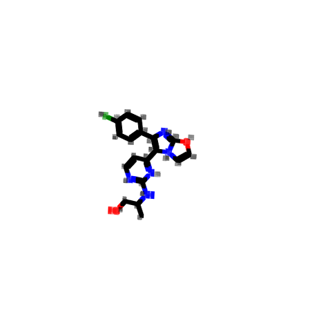 CC(CO)Nc1nccc(-c2c(-c3ccc(F)cc3)nc3occn23)n1